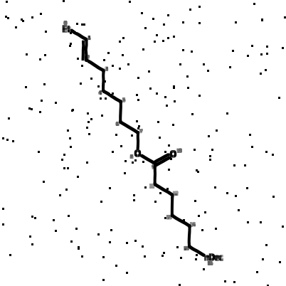 CCC=CCCCCCOC(=O)CCCCCCCCCCCCCCC